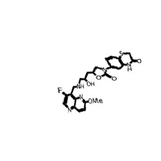 COc1ccc2ncc(F)c(CNCC(O)CC3CN(c4ccc5c(c4)NC(=O)CS5)C(=O)O3)c2n1